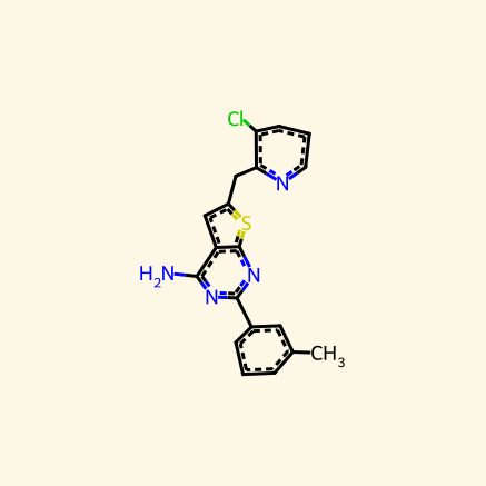 Cc1cccc(-c2nc(N)c3cc(Cc4ncccc4Cl)sc3n2)c1